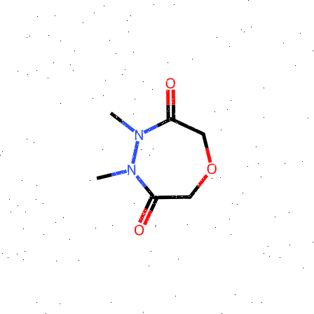 CN1C(=O)COCC(=O)N1C